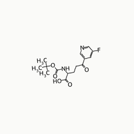 CC(C)(C)OC(=O)NC(CCC(=O)c1cncc(F)c1)C(=O)O